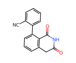 N#Cc1ccccc1-c1cccc2c1C(=O)NC(=O)C2